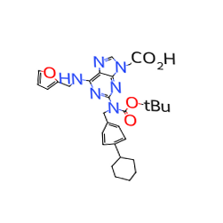 CC(C)(C)OC(=O)N(Cc1ccc(C2CCCCC2)cc1)c1nc(NCc2ccco2)c2ncn(CC(=O)O)c2n1